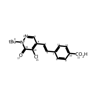 CC(C)(C)n1ncc(C=Cc2ccc(C(=O)O)cc2)c(Cl)c1=O